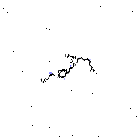 CC/C=C\C[C@@H](\C=C/C=C/C=C/[C@@H](C/C=C\C/C=C\CCC)OPP)OP